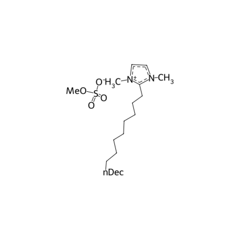 CCCCCCCCCCCCCCCCCCc1n(C)cc[n+]1C.COS(=O)(=O)[O-]